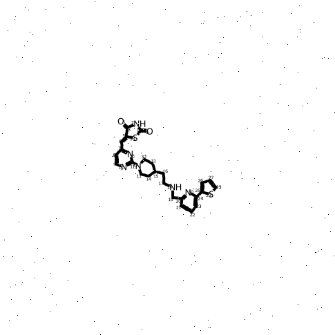 O=C1NC(=O)C(=Cc2ccnc(N3CCC(CCNCc4cccc(-c5cccs5)n4)CC3)n2)S1